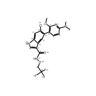 COc1nc(N(C)C)ccc1-c1cc2c(C(=O)NOCC(F)(F)F)c[nH]c2cc1Cl